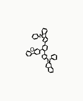 c1ccc(N(c2cccc(-c3ccc(-c4ccc5c6ccccc6n(-c6ccccc6)c5c4)cc3-c3ccc4c(c3)oc3ccccc34)c2)c2ccc3ccccc3c2)cc1